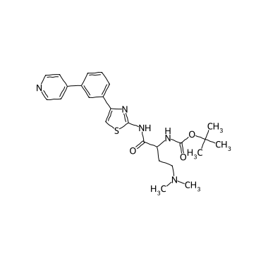 CN(C)CCC(NC(=O)OC(C)(C)C)C(=O)Nc1nc(-c2cccc(-c3ccncc3)c2)cs1